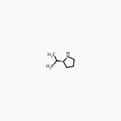 CC(P)[C@@H]1CCCN1